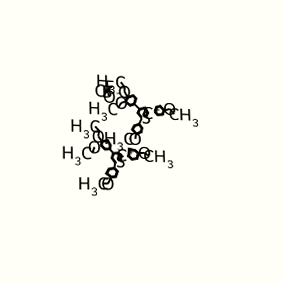 CCOc1ccc(-c2cc(-c3ccc(OC)cc3)s[c+](-c3ccc(OC)cc3)c2)cc1OCC.CCOc1ccc(-c2cc(-c3ccc(OC)cc3)s[c+](-c3ccc(OC)cc3)c2)cc1OCC.[O-]B([O-])F